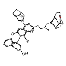 C[C@@H](COc1nc(N2CC3CCC(C2)N3)c2cc(Cl)c(-c3cc(O)cc4ccccc34)c(F)c2n1)CC1C2CC3CC1CC(C2)O3